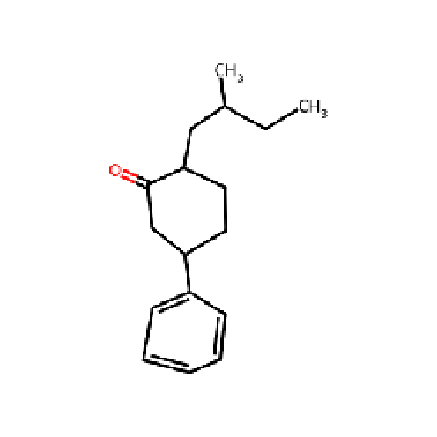 CCC(C)CC1CCC(c2ccccc2)CC1=O